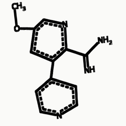 COc1cnc(C(=N)N)c(-c2ccncc2)c1